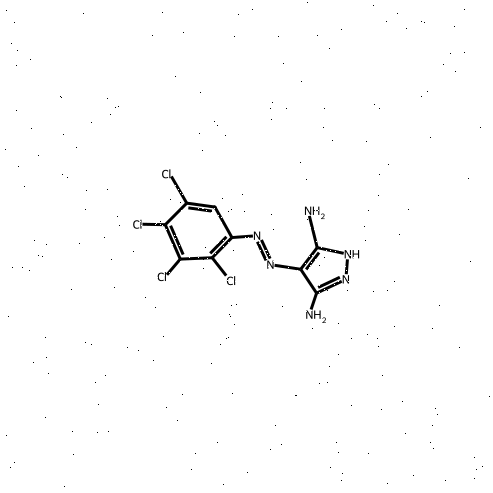 Nc1n[nH]c(N)c1N=Nc1cc(Cl)c(Cl)c(Cl)c1Cl